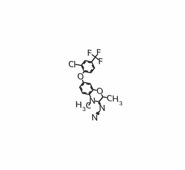 CC1Oc2cc(Oc3ccc(C(F)(F)F)cc3Cl)ccc2N(C)C1=NC#N